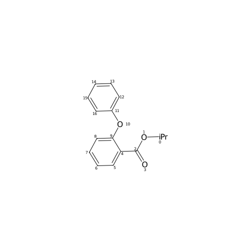 CC(C)OC(=O)c1ccccc1Oc1ccccc1